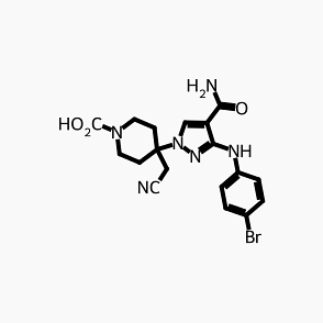 N#CCC1(n2cc(C(N)=O)c(Nc3ccc(Br)cc3)n2)CCN(C(=O)O)CC1